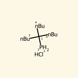 CCCCC(P)(CCCC)CCCC.Cl